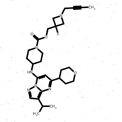 CC#CCN1CC(F)(COC(=O)N2CCC(Nc3cc(C4CCOCC4)nc4c(C(C)C)cnn34)CC2)C1